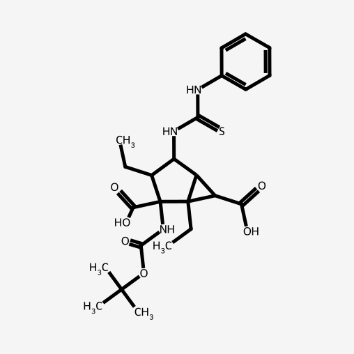 CCC1C(NC(=S)Nc2ccccc2)C2C(C(=O)O)C2(CC)C1(NC(=O)OC(C)(C)C)C(=O)O